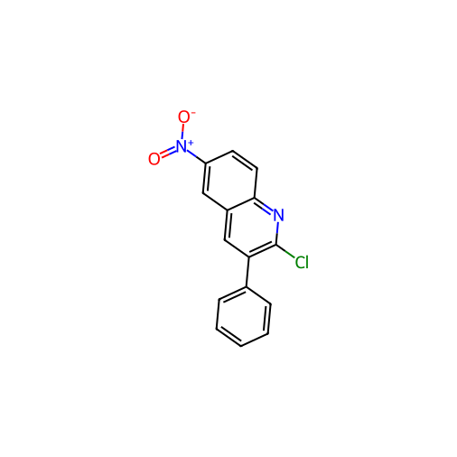 O=[N+]([O-])c1ccc2nc(Cl)c(-c3ccccc3)cc2c1